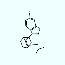 CN(C)CC1=C(c2csc3cc(F)ccc23)C2CCC1CC2